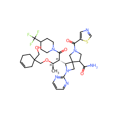 C[C@@H](OCC1(CO)CC=CCC1)[C@H](C(=O)N1CCC(C(F)(F)F)CC1)C1N(c2ncccn2)CC12CN(C(=O)c1cncs1)CC2C(N)=O